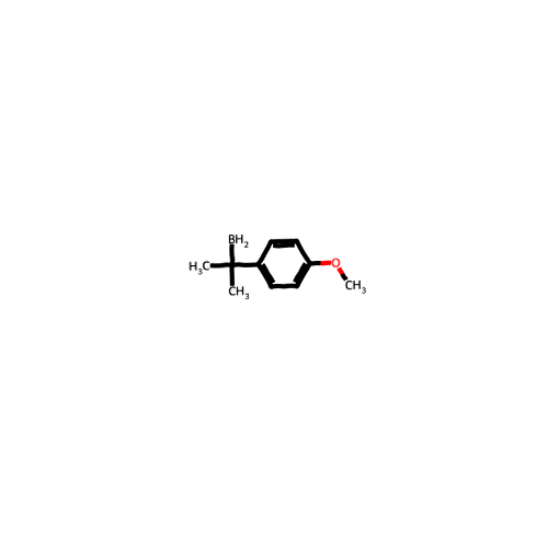 BC(C)(C)c1ccc(OC)cc1